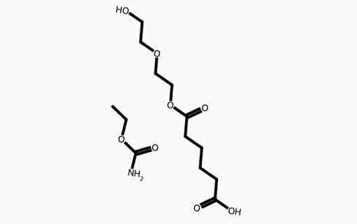 CCOC(N)=O.O=C(O)CCCCC(=O)OCCOCCO